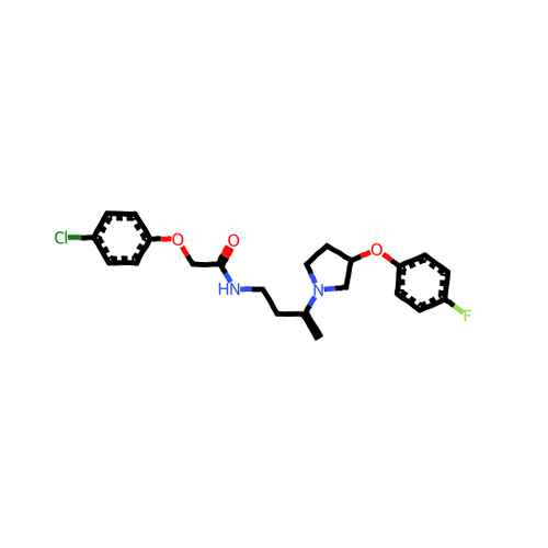 C=C(CCNC(=O)COc1ccc(Cl)cc1)N1CCC(Oc2ccc(F)cc2)C1